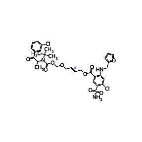 CC(C(=O)c1cccc(Cl)c1)N(C(=O)OCOC/C=C/COC(=O)c1cc(S(N)(=O)=O)c(Cl)cc1NCc1ccco1)C(C)(C)C